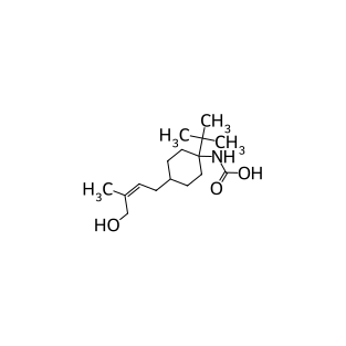 CC(=CCC1CCC(NC(=O)O)(C(C)(C)C)CC1)CO